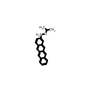 CC(C)O[SiH2]c1ccc2cc3cc4ccccc4cc3cc2c1